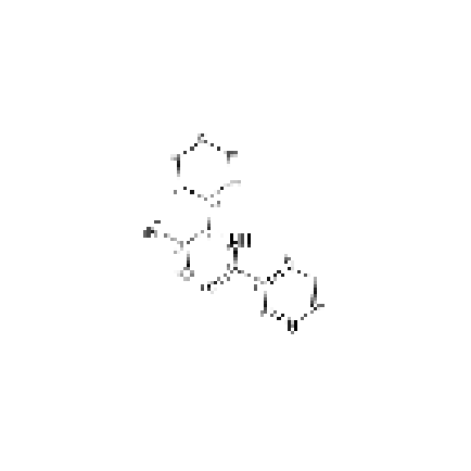 CC(C)C(=O)[C@@H](NC(=O)c1cnccn1)C1CCCCC1